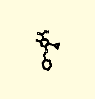 O=C(O)c1cc(C2CC2)c(OCC2CCCCC2)cc1F